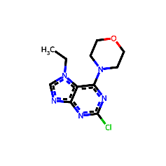 CCn1cnc2nc(Cl)nc(N3CCOCC3)c21